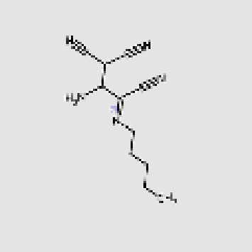 CCCCC/N=C(\C#N)C(N)C(C#N)C#N